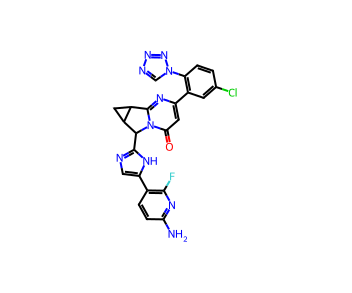 Nc1ccc(-c2cnc(C3C4CC4c4nc(-c5cc(Cl)ccc5-n5cnnn5)cc(=O)n43)[nH]2)c(F)n1